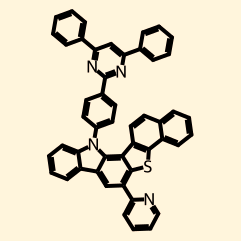 c1ccc(-c2cc(-c3ccccc3)nc(-c3ccc(-n4c5ccccc5c5cc(-c6ccccn6)c6sc7c8ccccc8ccc7c6c54)cc3)n2)cc1